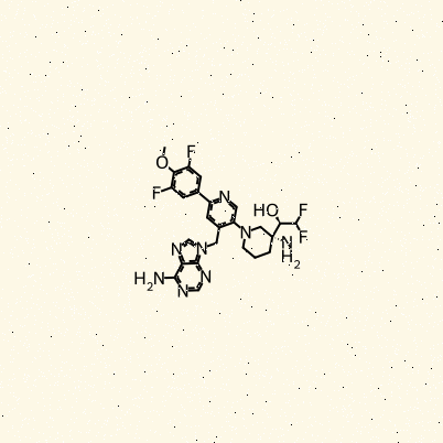 COc1c(F)cc(-c2cc(Cn3cnc4c(N)ncnc43)c(N3CCC[C@](N)([C@@H](O)C(F)F)C3)cn2)cc1F